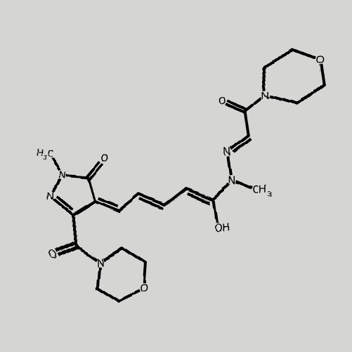 CN1N=C(C(=O)N2CCOCC2)/C(=C/C=C/C=C(\O)N(C)/N=C/C(=O)N2CCOCC2)C1=O